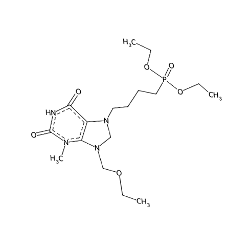 CCOCN1CN(CCCCP(=O)(OCC)OCC)c2c1n(C)c(=O)[nH]c2=O